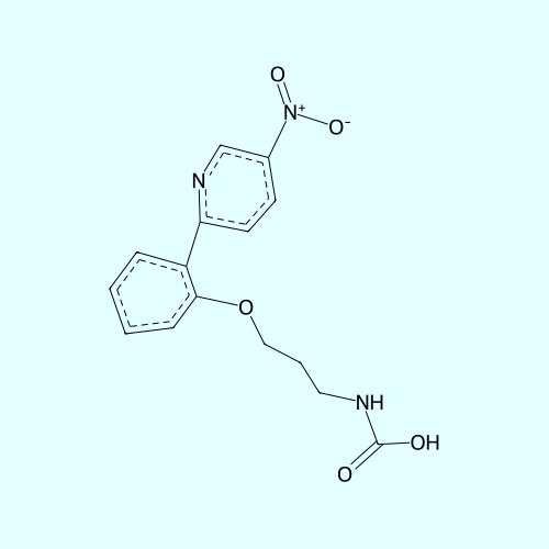 O=C(O)NCCCOc1ccccc1-c1ccc([N+](=O)[O-])cn1